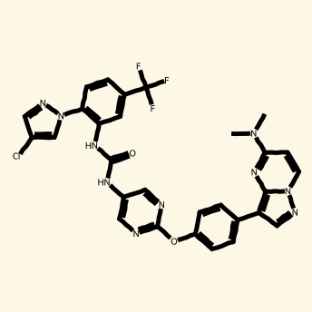 CN(C)c1ccn2ncc(-c3ccc(Oc4ncc(NC(=O)Nc5cc(C(F)(F)F)ccc5-n5cc(Cl)cn5)cn4)cc3)c2n1